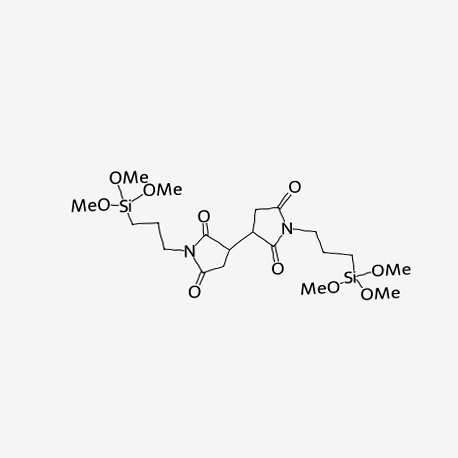 CO[Si](CCCN1C(=O)CC(C2CC(=O)N(CCC[Si](OC)(OC)OC)C2=O)C1=O)(OC)OC